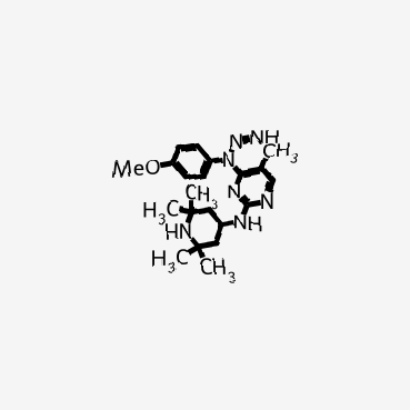 COc1ccc(N(N=N)c2nc(NC3CC(C)(C)NC(C)(C)C3)ncc2C)cc1